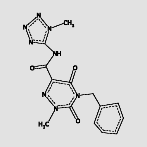 Cn1nnnc1NC(=O)c1nn(C)c(=O)n(Cc2ccccc2)c1=O